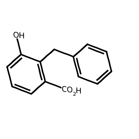 O=C(O)c1cccc(O)c1Cc1ccccc1